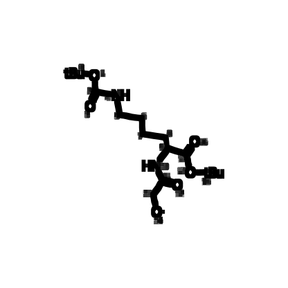 CC(C)(C)OC(=O)NCCCC[C@H](NC(=O)C[O])C(=O)OC(C)(C)C